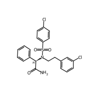 NC(=O)[C@@H](c1ccccc1)N(CCc1cccc(Cl)c1)S(=O)(=O)c1ccc(Cl)cc1